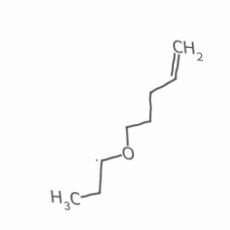 C=CCCCO[CH]CC